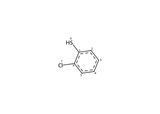 Sc1[c]cccc1Cl